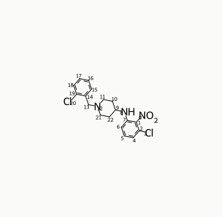 O=[N+]([O-])c1c(Cl)cccc1NC1CCN(Cc2ccccc2Cl)CC1